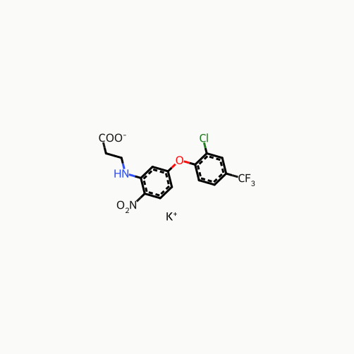 O=C([O-])CCNc1cc(Oc2ccc(C(F)(F)F)cc2Cl)ccc1[N+](=O)[O-].[K+]